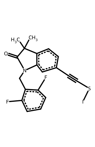 CC1(C)C(=O)N(Cc2c(F)cccc2F)c2cc(C#CSI)ccc21